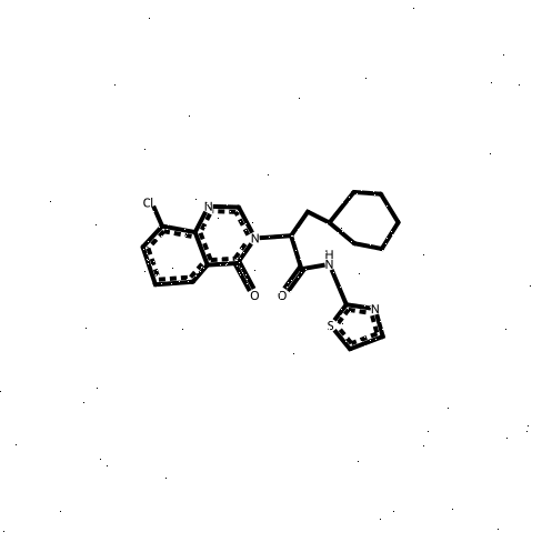 O=C(Nc1nccs1)C(CC1CCCCC1)n1cnc2c(Cl)cccc2c1=O